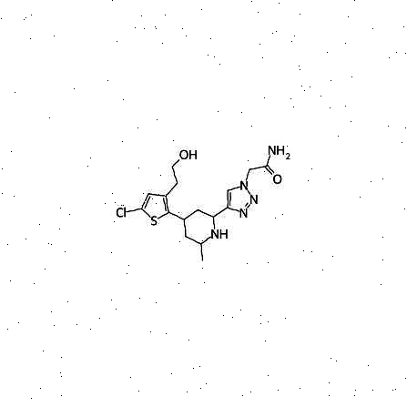 CC1CC(c2sc(Cl)cc2CCO)CC(c2cn(CC(N)=O)nn2)N1